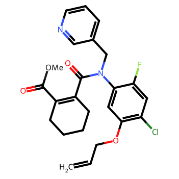 C=CCOc1cc(N(Cc2cccnc2)C(=O)C2=C(C(=O)OC)CCCC2)c(F)cc1Cl